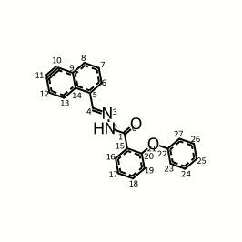 O=C(N/N=C/c1cccc2c#cccc12)c1ccccc1Oc1ccccc1